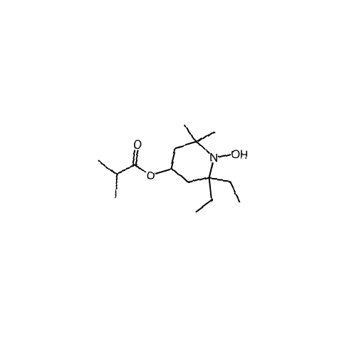 CCC1(CC)CC(OC(=O)C(C)I)CC(C)(C)N1O